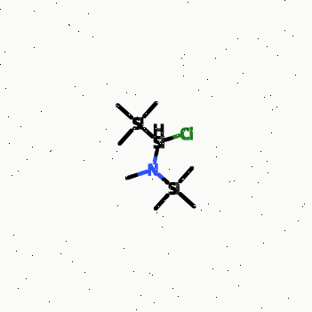 CN([SiH](Cl)[Si](C)(C)C)[Si](C)(C)C